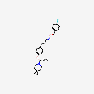 O=CC(Oc1ccc(CCC=NOCc2ccc(F)cc2)cc1)N1CCC2(CC1)CC2